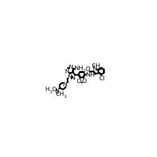 CN(C)C1CCN(CCn2nc(-c3ccc(NC(=O)c4cc5c(Cl)cccc5n4C)c4c3OCO4)c3c(N)ncnc32)CC1